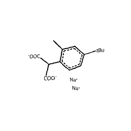 Cc1cc(C(C)(C)C)ccc1C(C(=O)[O-])C(=O)[O-].[Na+].[Na+]